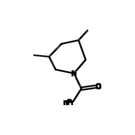 CCCC(=O)N1CC(C)CC(C)C1